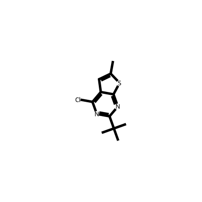 Cc1cc2c(Cl)nc(C(C)(C)C)nc2s1